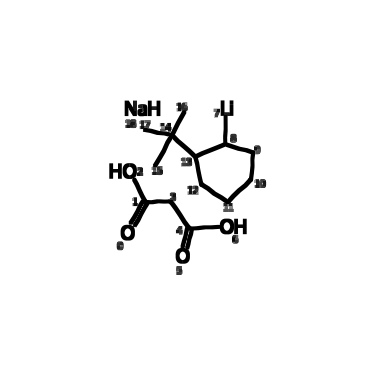 O=C(O)CC(=O)O.[Li][CH]1CCCCC1C(C)(C)C.[NaH]